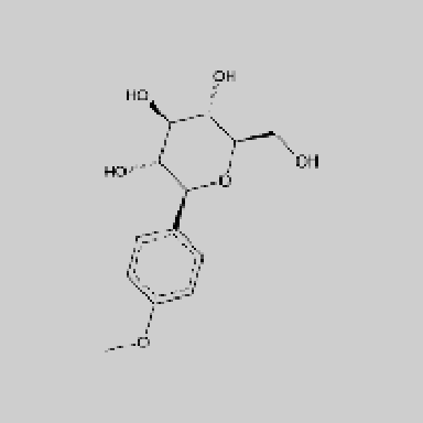 COc1ccc([C@@H]2O[C@H](CO)[C@@H](O)[C@H](O)[C@H]2O)cc1